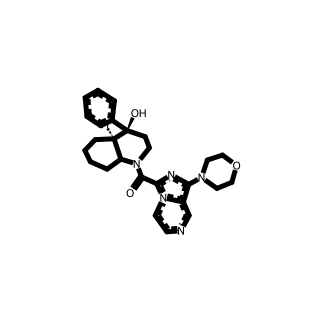 O=C(c1nc(N2CCOCC2)c2cnccn12)N1CC[C@@](O)(c2ccccc2)[C@@H]2CCCCC21